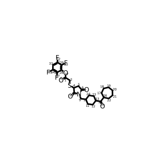 O=C(CSC1CC(=O)N(CC2CCC(C(=O)C3CCCCCC3)CC2)C1=O)Oc1c(F)c(F)cc(F)c1F